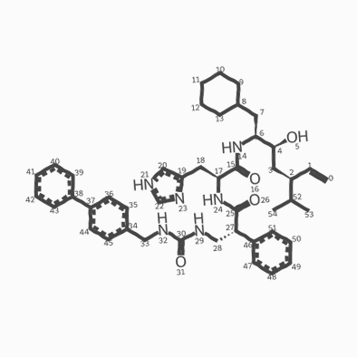 C=C[C@H](C[C@H](O)[C@H](CC1CCCCC1)NC(=O)[C@H](Cc1c[nH]cn1)NC(=O)[C@@H](CNC(=O)NCc1ccc(-c2ccccc2)cc1)c1ccccc1)C(C)C